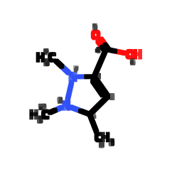 CC1C=C(C(=O)O)N(C)N1C